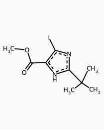 COC(=O)c1[nH]c(C(C)(C)C)nc1I